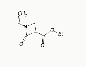 C=CN1CC(C(=O)OCC)C1=O